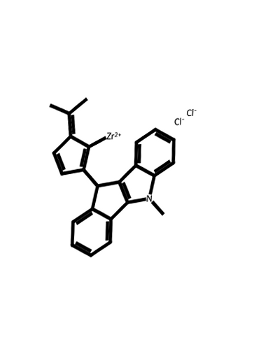 CC(C)=C1C=CC(C2c3ccccc3-c3c2c2ccccc2n3C)=[C]1[Zr+2].[Cl-].[Cl-]